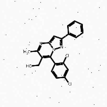 Cc1nc2cc(-c3ccccc3)nn2c(-c2ccc(Cl)cc2Cl)c1CO